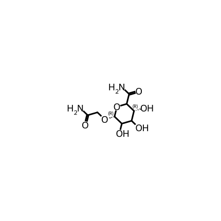 NC(=O)CO[C@@H]1OC(C(N)=O)[C@H](O)C(O)C1O